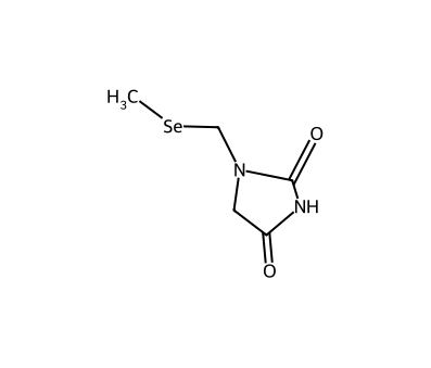 C[Se]CN1CC(=O)NC1=O